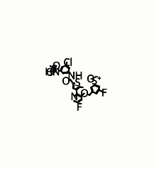 Cc1sc(C(=O)Nc2cc(Cl)cc(NS(C)(=O)=O)c2)cc1-c1ncc(F)cc1OCc1cc(F)cc([S+](C)[O-])c1